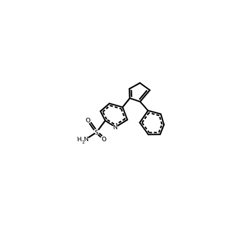 NS(=O)(=O)c1ccc(C2=CCC=C2c2ccccc2)cn1